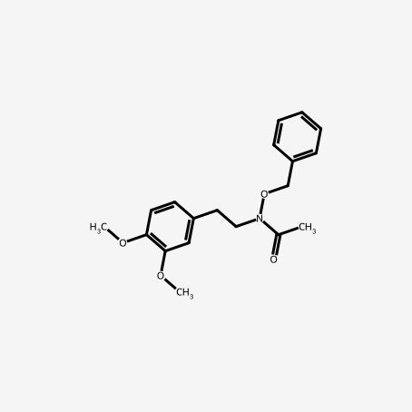 COc1ccc(CCN(OCc2ccccc2)C(C)=O)cc1OC